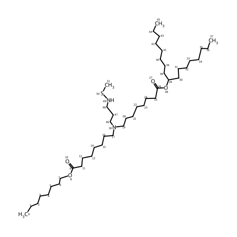 CCCCCCCCOC(=O)CCCCCCCN(CCCCCCCC(=O)OC(CCCCCCCC)CCCCCCCC)CCCNSC